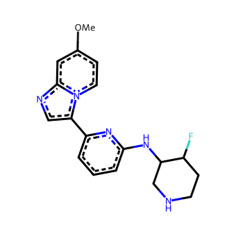 COc1ccn2c(-c3cccc(NC4CNCCC4F)n3)cnc2c1